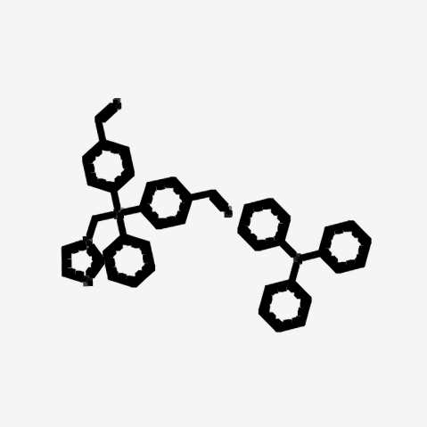 S=Cc1ccc([Si](Cn2ccnc2)(c2ccccc2)c2ccc(C=S)cc2)cc1.c1ccc(B(c2ccccc2)c2ccccc2)cc1